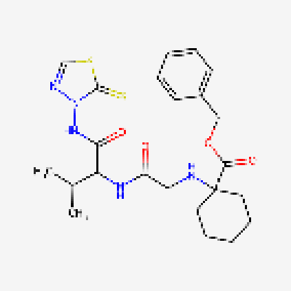 CC(C)C(NC(=O)CNC1(C(=O)OCc2ccccc2)CCCCC1)C(=O)Nn1ncsc1=S